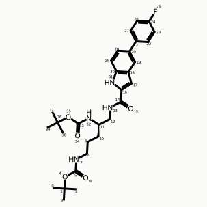 CC(C)(C)OC(=O)NCCC[C@H](CNC(=O)c1cc2cc(-c3ccc(F)cc3)ccc2[nH]1)NC(=O)OC(C)(C)C